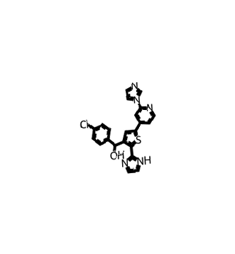 OC(c1ccc(Cl)cc1)c1cc(-c2ccnc(-n3ccnc3)c2)sc1-c1ncc[nH]1